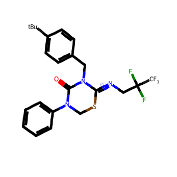 CC(C)(C)c1ccc(CN2C(=O)N(c3ccccc3)CS/C2=N\CC(F)(F)C(F)(F)F)cc1